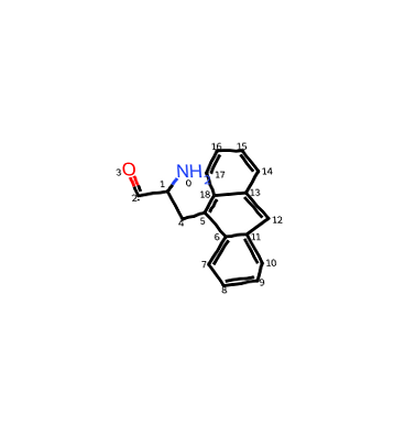 NC([C]=O)Cc1c2ccccc2cc2ccccc12